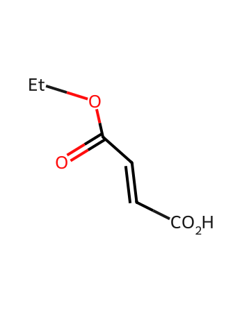 [CH2]COC(=O)/C=C/C(=O)O